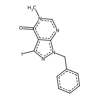 Cn1cnc2c(c(I)nn2Cc2ccccc2)c1=O